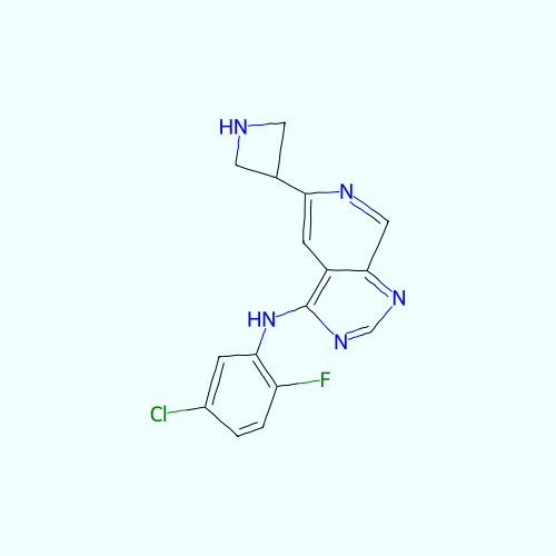 Fc1ccc(Cl)cc1Nc1ncnc2cnc(C3CNC3)cc12